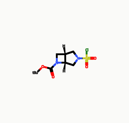 CC(C)(C)OC(=O)N1C[C@@H]2CN(S(=O)(=O)Cl)C[C@@H]21